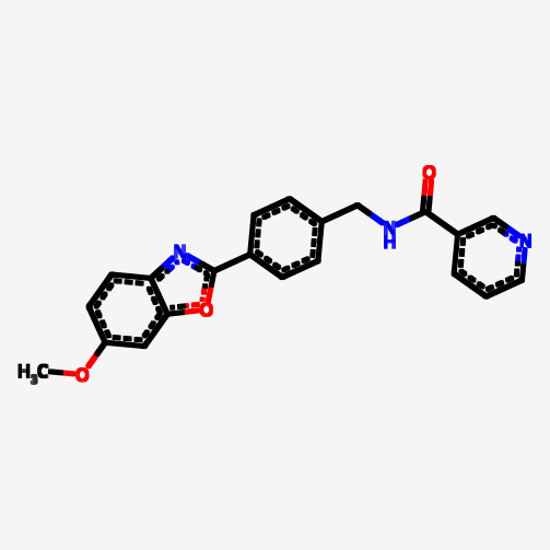 COc1ccc2nc(-c3ccc(CNC(=O)c4cccnc4)cc3)oc2c1